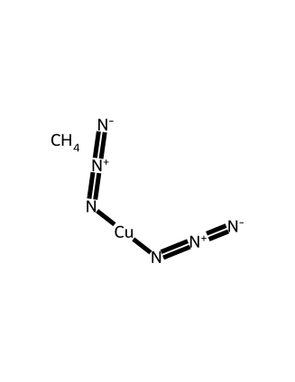 C.[N-]=[N+]=[N][Cu][N]=[N+]=[N-]